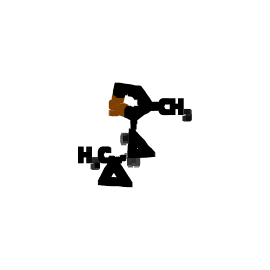 Cc1ccsc1[C@@H]1C[C@@H]1C1(C)CC1